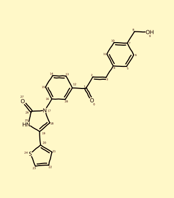 O=C(/C=C/c1ccc(CO)cc1)c1cccc(-n2cc(-c3cccs3)[nH]c2=O)c1